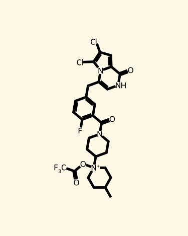 CC1CC[N+](OC(=O)C(F)(F)F)(C2CCN(C(=O)c3cc(Cc4c[nH]c(=O)c5cc(Cl)c(Cl)n45)ccc3F)CC2)CC1